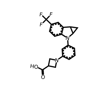 O=C(O)C1CN(c2cccc(N3c4ccc(C(F)(F)F)cc4C4CC43)c2)C1